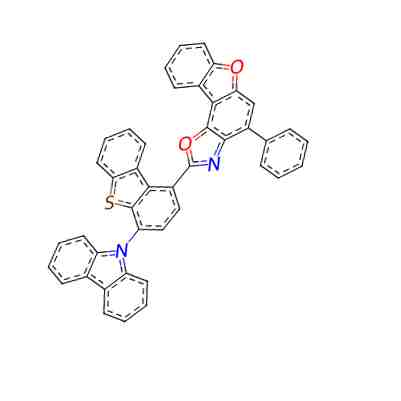 c1ccc(-c2cc3oc4ccccc4c3c3oc(-c4ccc(-n5c6ccccc6c6ccccc65)c5sc6ccccc6c45)nc23)cc1